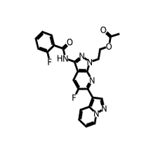 CC(=O)OCCn1nc(NC(=O)c2ccccc2F)c2cc(F)c(-c3cnn4ccccc34)nc21